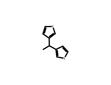 CC(c1ccsc1)c1ccsc1